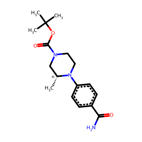 C[C@@H]1CN(C(=O)OC(C)(C)C)CCN1c1ccc(C(N)=O)cc1